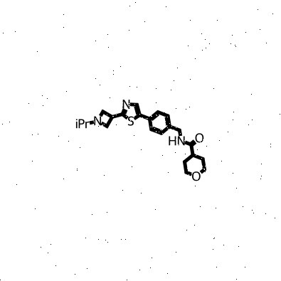 CC(C)N1CC(c2ncc(-c3ccc(CNC(=O)C4CCOCC4)cc3)s2)C1